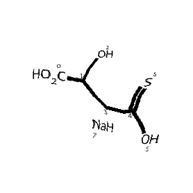 O=C(O)C(O)CC(O)=S.[NaH]